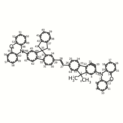 CC1(C)c2cc(N3c4ccccc4Oc4ccccc43)c#cc2-c2ccc(/C=C/c3ccc4c(c3)C3(Cc5ccccc5C3)c3cc(N5c6ccccc6Oc6ccccc65)ccc3-4)cc21